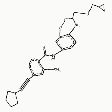 Cc1cc(C#CC2CCCC2)ccc1C(=O)Nc1ccc2c(c1)OCC(COCC1CC1)N2